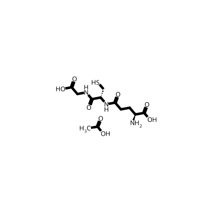 CC(=O)O.N[C@@H](CCC(=O)N[C@@H](CS)C(=O)NCC(=O)O)C(=O)O